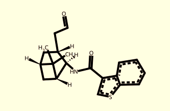 CC1(C)[C@H]2C[C@H](CC=O)[C@@H](NC(=O)c3csc4ccccc34)[C@@H]1C2